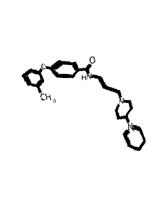 Cc1cccc(Oc2ccc(C(=O)NCCCN3CCC(N4CCCCC4)CC3)cc2)c1